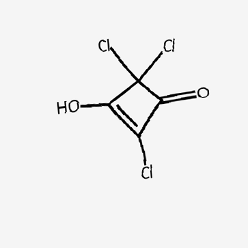 O=C1C(Cl)=C(O)C1(Cl)Cl